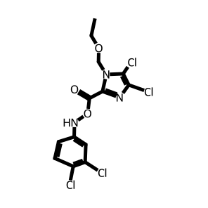 CCOCn1c(C(=O)ONc2ccc(Cl)c(Cl)c2)nc(Cl)c1Cl